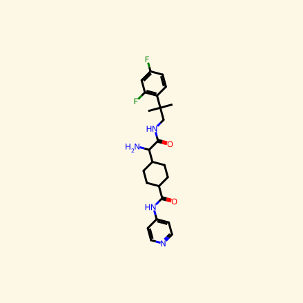 CC(C)(CNC(=O)C(N)C1CCC(C(=O)Nc2ccncc2)CC1)c1ccc(F)cc1F